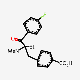 CCC(Cc1ccc(C(=O)O)cc1)(NC)C(=O)c1ccc(F)cc1